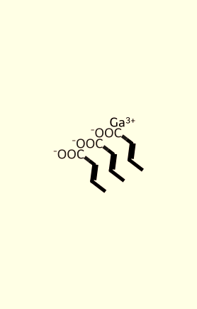 CC=CC(=O)[O-].CC=CC(=O)[O-].CC=CC(=O)[O-].[Ga+3]